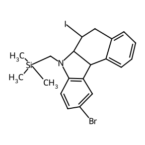 C[Si](C)(C)CN1c2ccc(Br)cc2C2c3ccccc3CC(I)C21